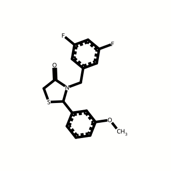 COc1cccc(C2SCC(=O)N2Cc2cc(F)cc(F)c2)c1